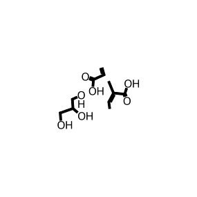 C=CC(=O)O.CC=C(C)C(=O)O.OCC(O)CO